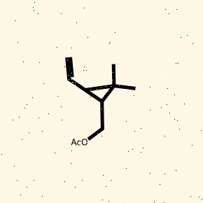 [CH]=CC1C(COC(C)=O)C1(C)C